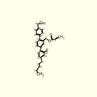 C=CC(=O)OCc1cc(-c2ccc(CCCCC)cc2F)ccc1-c1ccc(CO)cc1